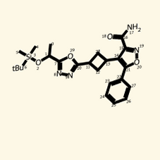 CC(O[Si](C)(C)C(C)(C)C)c1nnc(C2CC(c3c(C(N)=O)noc3-c3ccccc3)C2)o1